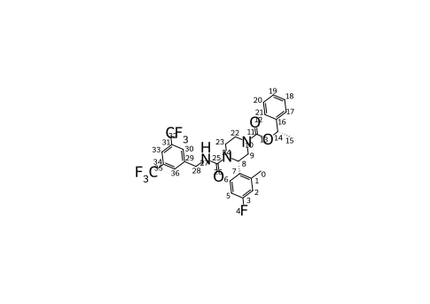 Cc1cc(F)ccc1[C@H]1CN(C(=O)O[C@@H](C)c2ccccc2)CCN1C(=O)NCc1cc(C(F)(F)F)cc(C(F)(F)F)c1